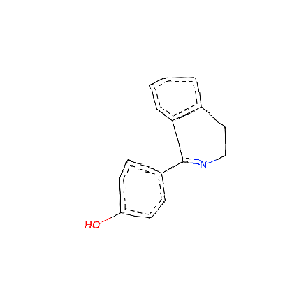 Oc1ccc(C2=NCCc3ccccc32)cc1